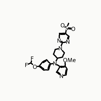 COc1ccncc1N(c1ccc(OC(F)F)cc1)C1CCN(c2ncc(S(C)(=O)=O)cn2)CC1